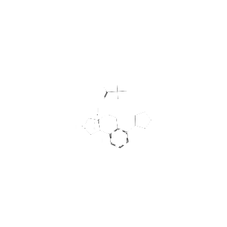 O=C(O)C(F)(F)F.c1cc(C2CCCC2)c2c(c1)[C@H]1CNC[C@@H]1OC2